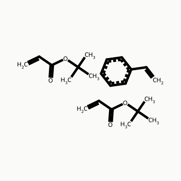 C=CC(=O)OC(C)(C)C.C=CC(=O)OC(C)(C)C.C=Cc1ccccc1